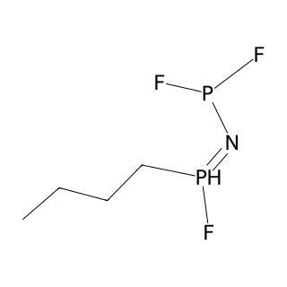 CCCC/[PH](F)=N\P(F)F